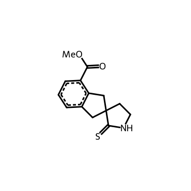 COC(=O)c1cccc2c1CC1(CCNC1=S)C2